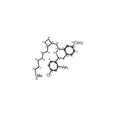 CCCc1cc(Cl)ccc1C1Cc2ccc(C=O)cc2N(CC2CCC2CCCCCCSC)C1